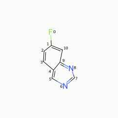 Fc1ccc2cncnc2c1